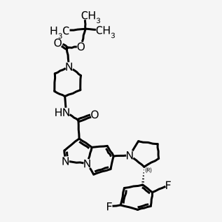 CC(C)(C)OC(=O)N1CCC(NC(=O)c2cnn3ccc(N4CCC[C@@H]4c4cc(F)ccc4F)cc23)CC1